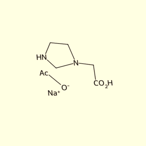 CC(=O)[O-].O=C(O)CN1CCNC1.[Na+]